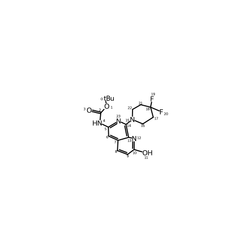 CC(C)(C)OC(=O)Nc1cc2ccc(O)nc2c(N2CCC(F)(F)CC2)n1